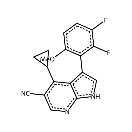 COc1ccc(F)c(F)c1-c1c[nH]c2ncc(C#N)c(C3CC3)c12